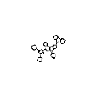 c1ccc(-c2cc(-c3ccccc3)nc(-c3cc4c(c5ccccc35)c3cc(-n5c6ccccc6c6ccccc65)ccc3n4-c3ccccc3)n2)cc1